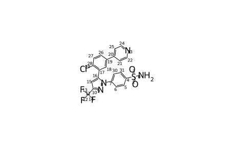 NS(=O)(=O)c1ccc(-n2nc(C(F)(F)F)cc2-c2cc(-c3ccncc3)ccc2Cl)cc1